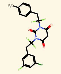 O=C1CC(=O)N(C(F)(F)Cc2cc(F)cc(Cl)c2)C(=O)N1C(F)(F)Cc1ccc(C(F)(F)F)cc1